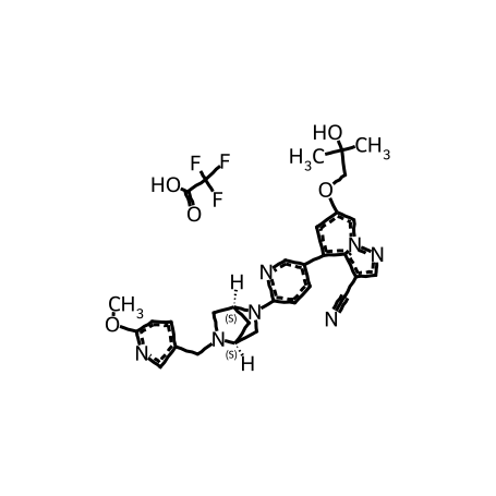 COc1ccc(CN2C[C@@H]3C[C@H]2CN3c2ccc(-c3cc(OCC(C)(C)O)cn4ncc(C#N)c34)cn2)cn1.O=C(O)C(F)(F)F